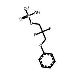 O=P(O)(O)OCC(F)(F)COc1ccccc1